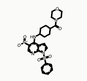 O=C(C1CCC(Nc2c([N+](=O)[O-])cnc3c2ccn3S(=O)(=O)c2ccccc2)CC1)N1CCOCC1